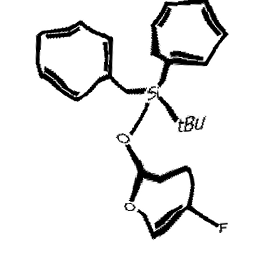 CC(C)(C)[Si](OC1CC(F)=CO1)(c1ccccc1)c1ccccc1